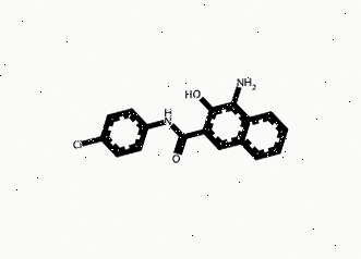 Nc1c(O)c(C(=O)Nc2ccc(Cl)cc2)cc2ccccc12